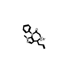 C=CCC1c2cnn(C)c2N(c2ccccc2)C(=O)C[NH+]1[O-]